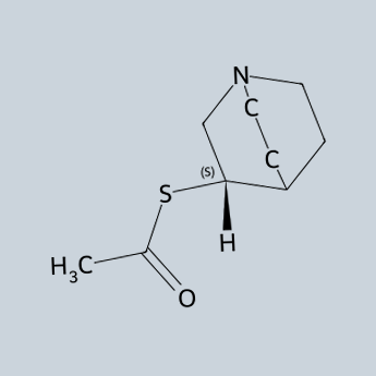 CC(=O)S[C@@H]1CN2CCC1CC2